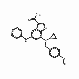 COc1ccc(CN(c2cc(Nc3ccccc3)nn3c(C(N)=O)cnc23)C2CC2)cc1